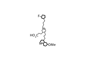 COc1ccc2nccc(CCCC3CCN(CCCCc4cccc(F)c4)CC3CCC(=O)O)c2c1